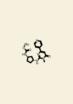 Cn1c(N[C@@H]2CC[C@@H](NC(=O)OC(C)(C)C)C2)nc(-c2ccncc2)cc1=O